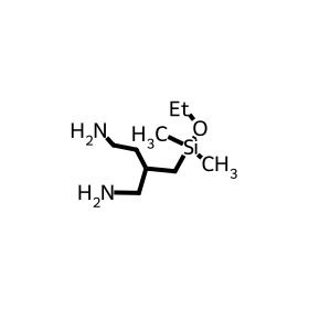 CCO[Si](C)(C)CC(CN)CCN